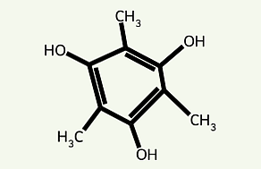 Cc1c(O)c(C)c(O)c(C)c1O